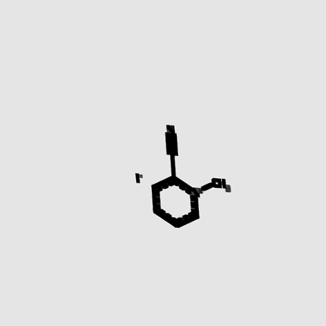 C[n+]1ccccc1C#N.[I-]